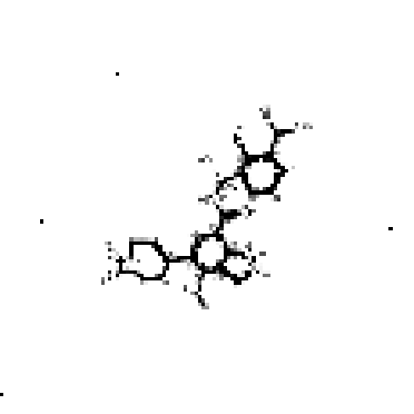 COc1c(C2=CCS(=O)(=O)CC2)cc(C(=O)N[C@H](C)c2cccc(C(F)F)c2F)c2[nH]ncc12